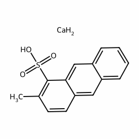 Cc1ccc2cc3ccccc3cc2c1S(=O)(=O)O.[CaH2]